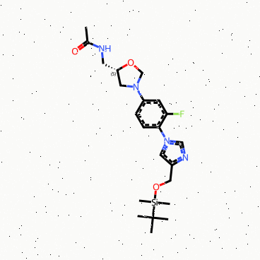 CC(=O)NC[C@H]1CN(c2ccc(-n3cnc(CO[Si](C)(C)C(C)(C)C)c3)c(F)c2)CO1